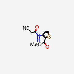 COC(=O)c1sccc1NC(=O)CC#N